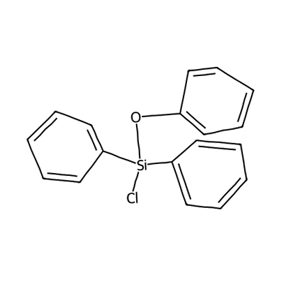 Cl[Si](Oc1ccccc1)(c1ccccc1)c1ccccc1